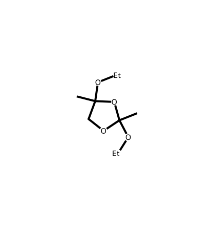 CCOC1(C)COC(C)(OCC)O1